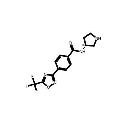 O=C(N[C@@H]1CCNC1)c1ccc(-c2noc(C(F)(F)F)n2)cc1